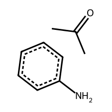 CC(C)=O.Nc1ccccc1